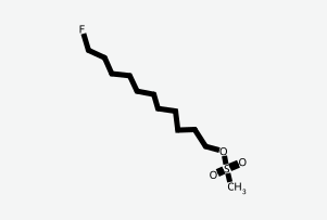 CS(=O)(=O)OCCCCCCCCCCCF